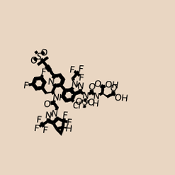 CC(C)(C#Cc1ccc(-c2ccc(Cl)c3c(N(C(=O)N[C@H](CC(=O)O)C(=O)O)S(C)(=O)=O)nn(CC(F)(F)F)c23)c([C@H](Cc2cc(F)cc(F)c2)NC(=O)Cn2nc(C(F)(F)F)c3c2C(F)(F)[C@@H]2CC32)n1)S(C)(=O)=O